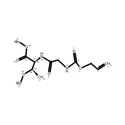 C=CCOC(=O)NCC(=O)N[C@H](C(=O)OC(C)(C)C)[C@@H](C)OC(C)(C)C